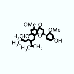 C=C(C)C(CC=C(C)C)Cc1c(O)cc(OC)c2c1O[C@H](C1C=CC(O)=CC1OC)CC2=O